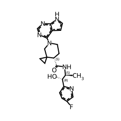 C[C@H](NC(=O)[C@H]1CCN(c2ncnc3[nH]ccc23)CC12CC2)[C@@H](O)c1ccc(F)cn1